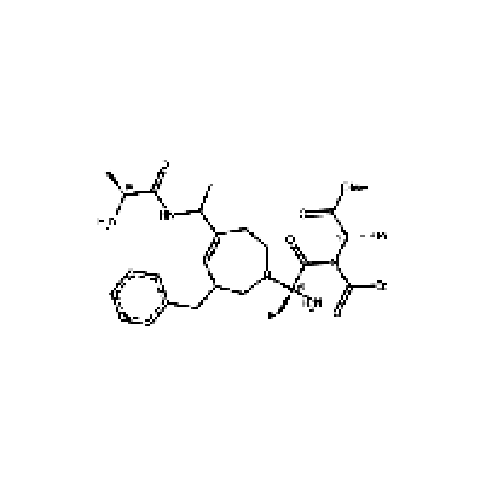 CCC(=O)N(C(=O)[C@@](N)(C(C)C)N1CCC(C(C)NC(=O)[C@H](C)N)=CC(Cc2ccccc2)C1)[C@H](C(=O)OC)C(C)C